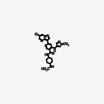 Cn1cc(Nc2cc(-c3cnn4cc(Cl)cnc34)ncc2C(=O)NC2CCC(NC(=O)O)CC2)cn1